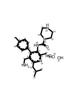 Cc1ccc(-c2c(CN)c(CC(C)C)nc(C)c2NC(=O)N2CCNCC2)cc1.Cl.Cl.Cl